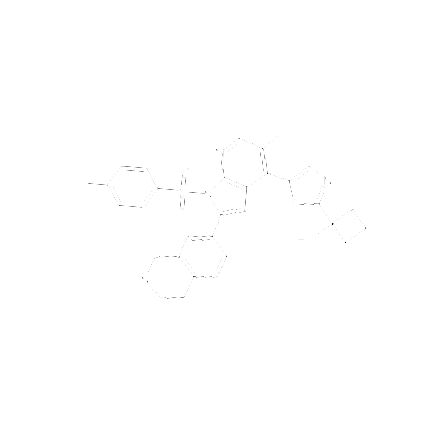 Cc1ccc(S(=O)(=O)n2c(-c3ccc4c(c3)CNCC4)cc3c(-c4cnc(C5(O)CCC5)s4)c(Cl)cnc32)cc1